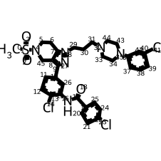 CS(=O)(=O)N1CCc2c(c(-c3ccc(Cl)c(NC(=O)c4ccc(Cl)cc4)c3)nn2CCCN2CCN(c3cccc(Cl)c3)CC2)C1